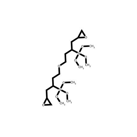 CO[Si](OC)(OC)C(CCOCCC(CC1CO1)[Si](OC)(OC)OC)CC1CO1